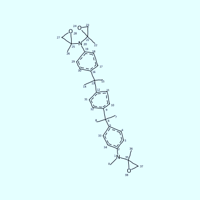 CN(c1ccc(C(C)(C)c2ccc(C(C)(C)c3ccc(N(C4(C)CO4)C4(C)CO4)cc3)cc2)cc1)C1(C)CO1